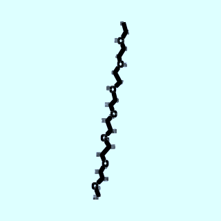 CCOCCOCCOCCOCCOCCOCCOC